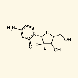 Nc1ccn([C@@H]2O[C@H](CO)C(O)C2(F)F)c(=O)c1